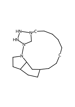 C1CCCCN2CN(NN2)N2CCC3CCC(CCC1)CC32